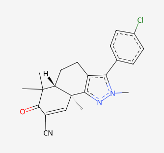 Cn1nc2c(c1-c1ccc(Cl)cc1)CC[C@H]1C(C)(C)C(=O)C(C#N)=C[C@]21C